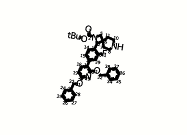 CC(C)(C)OC(=O)N1CC2(CCNCC2)C1c1ccc(-c2ccc(OCc3ccccc3)nc2OCc2ccccc2)cc1F